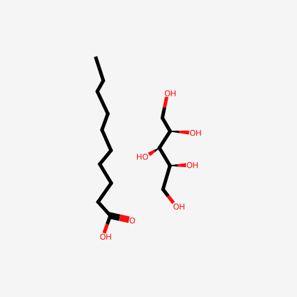 CCCCCCCCCC(=O)O.OC[C@@H](O)[C@H](O)[C@@H](O)CO